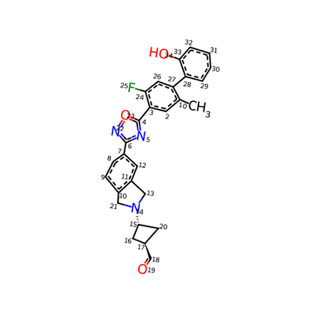 Cc1cc(-c2nc(-c3ccc4c(c3)CN([C@H]3C[C@H](C=O)C3)C4)no2)c(F)cc1-c1ccccc1O